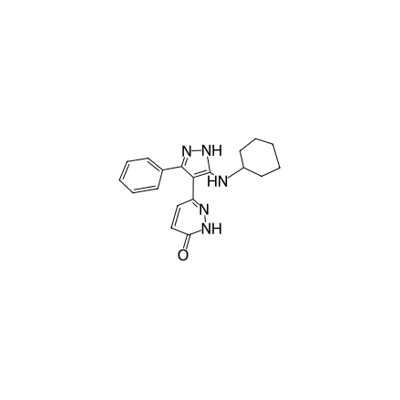 O=c1ccc(-c2c(-c3ccccc3)n[nH]c2NC2CCCCC2)n[nH]1